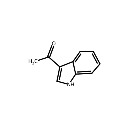 [CH2]C(=O)c1c[nH]c2ccccc12